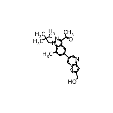 CC(=O)c1nn(CC(C)(C)C)c2c(C)cc(-c3cnc4cc(CO)nn4c3)cc12